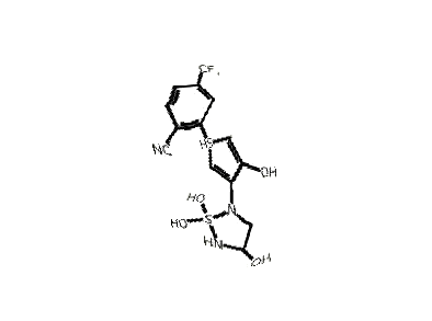 N#Cc1ccc(C(F)(F)F)cc1[SH]1C=C(O)C(N2CC(O)NS2(O)O)=C1